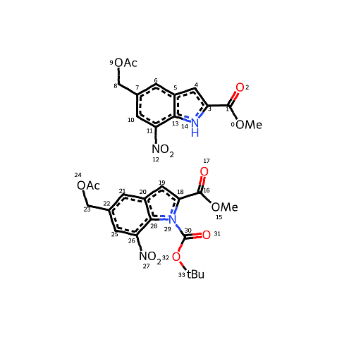 COC(=O)c1cc2cc(COC(C)=O)cc([N+](=O)[O-])c2[nH]1.COC(=O)c1cc2cc(COC(C)=O)cc([N+](=O)[O-])c2n1C(=O)OC(C)(C)C